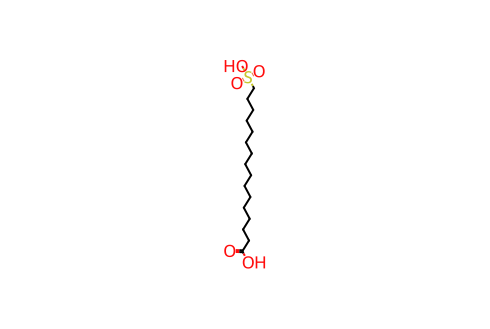 O=C(O)CCCCCCCCCCCCCCCS(=O)(=O)O